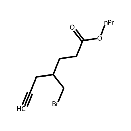 C#CCC(CBr)CCC(=O)OCCC